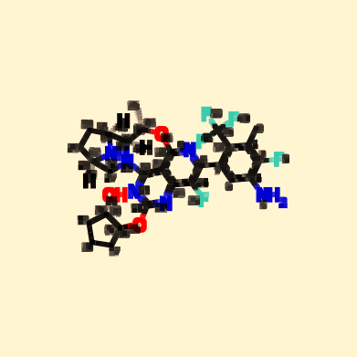 Cc1c(F)c(N)cc(-c2nc3c4c(nc(O[C@H]5CCC[C@@H]5O)nc4c2F)N2C[C@H]4CC[C@H](N4)[C@H]2[C@H](C)O3)c1C(F)(F)F